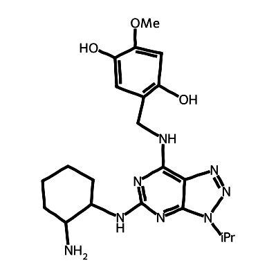 COc1cc(O)c(CNc2nc(NC3CCCCC3N)nc3c2nnn3C(C)C)cc1O